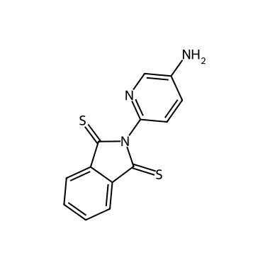 Nc1ccc(N2C(=S)c3ccccc3C2=S)nc1